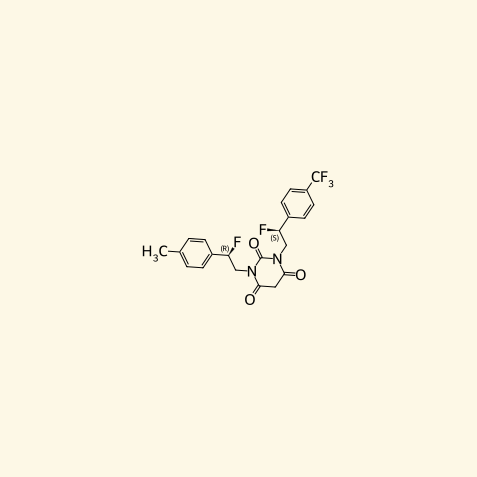 Cc1ccc([C@@H](F)CN2C(=O)CC(=O)N(C[C@@H](F)c3ccc(C(F)(F)F)cc3)C2=O)cc1